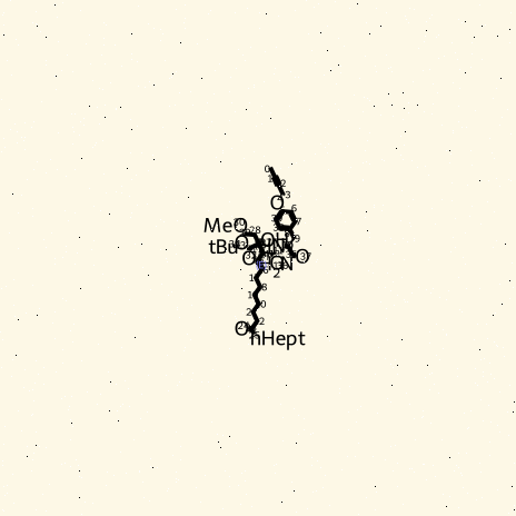 CC#CCOc1ccc(C[C@H](NC(=O)[C@@H](/C=C/CCCCCCC(=O)CCCCCCC)[C@@](O)(CCOC)C(=O)OC(C)(C)C)C(N)=O)cc1